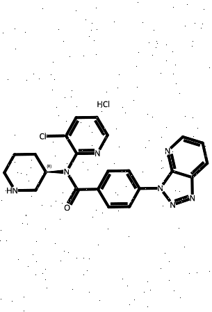 Cl.O=C(c1ccc(-n2nnc3cccnc32)cc1)N(c1ncccc1Cl)[C@@H]1CCCNC1